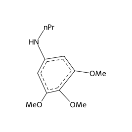 [CH2]CCNc1cc(OC)c(OC)c(OC)c1